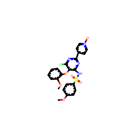 COc1ccc(S(=O)(=O)Nc2nc(-c3cc[n+]([O-])cc3)nc(Cl)c2Oc2ccccc2OC)cc1